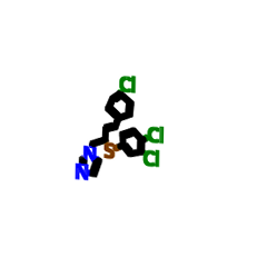 Clc1ccc(/C=C/C(Cn2ccnc2)Sc2ccc(Cl)c(Cl)c2)cc1